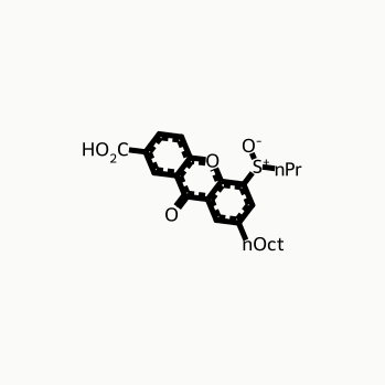 CCCCCCCCc1cc([S+]([O-])CCC)c2oc3ccc(C(=O)O)cc3c(=O)c2c1